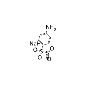 Nc1ccc(S(=O)(=O)[SH](=O)=O)cc1.[NaH]